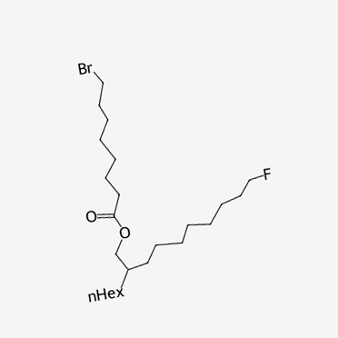 CCCCCCC(CCCCCCCCF)COC(=O)CCCCCCCBr